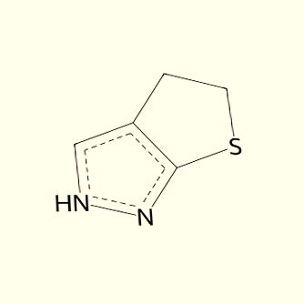 c1[nH]nc2c1CCS2